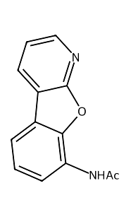 CC(=O)Nc1cccc2c1oc1ncccc12